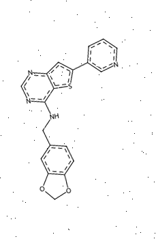 c1cncc(-c2cc3ncnc(NCc4ccc5c(c4)OCO5)c3s2)c1